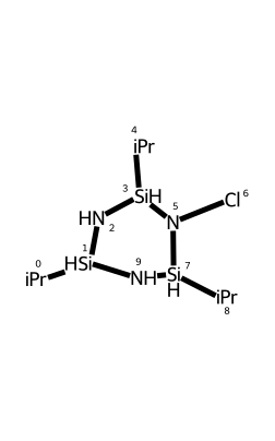 CC(C)[SiH]1N[SiH](C(C)C)N(Cl)[SiH](C(C)C)N1